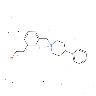 B[N+]1(Cc2cccc(CCO)c2)CCC(c2ccccc2)CC1